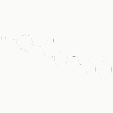 Oc1ccc(C(O)CN2CC3CC(O)(Cc4ccccc4)CC3C2)nc1